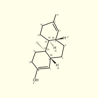 CC1=C[C@@H]2CC[C@@H]3C=C(O)CC[C@@]3(C)[C@H]2CC1